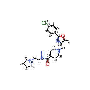 Cc1oc(-c2ccc(Cl)cc2)nc1CN1CCC(C(=O)NCCN2CCCC2)CC1